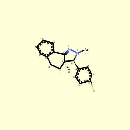 CC(=O)N1N=C2c3ccccc3CC[C@@H]2[C@@H]1c1ccc(F)cc1